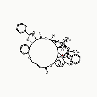 CC(=O)O[C@H]1C(=O)[C@@]2(C)[C@@H]3[C@H](OC(=O)c4ccccc4)[C@]4(O)C[C@H](OC(=O)[C@H](O)[C@@H](NC(=O)c5ccccc5)c5ccccc5OC/C=C/C(=O)O[C@]35CO[C@@H]5C[C@@H]2O)C(C)=C1C4(C)C